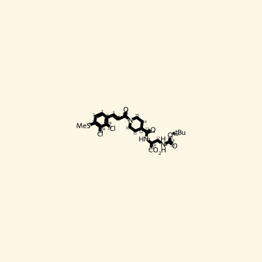 CSc1ccc(C=CC(=O)N2CCC(C(=O)NC(CNC(=O)OC(C)(C)C)C(=O)O)CC2)c(Cl)c1Cl